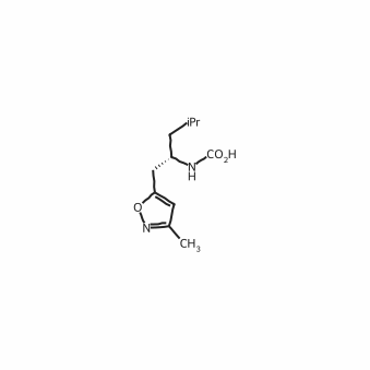 Cc1cc(C[C@H](CC(C)C)NC(=O)O)on1